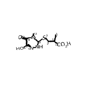 CC(CSC1NN=C(O)C(=O)N1C)C(=O)O